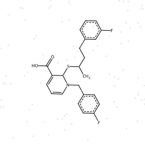 CC(CCc1cccc(F)c1)SC1C(C(=O)O)=CC=CN1Cc1ccc(F)cc1